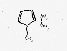 Cn1cccc1.NN